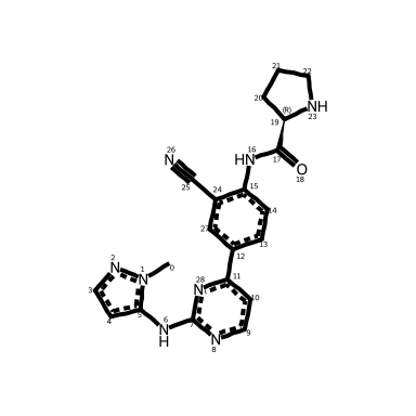 Cn1nccc1Nc1nccc(-c2ccc(NC(=O)[C@H]3CCCN3)c(C#N)c2)n1